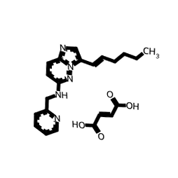 CCCC/C=C/c1cnc2ccc(NCc3ccccn3)nn12.O=C(O)/C=C/C(=O)O